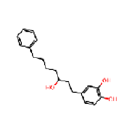 Oc1ccc(CCC(O)CCCCc2ccccc2)cc1O